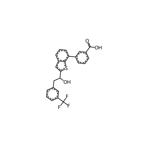 O=C(O)c1cccc(-c2cccc3cc(C(O)Cc4cccc(C(F)(F)F)c4)sc23)c1